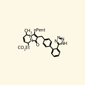 CCCCCc1c(Cc2ccc(-c3ccccc3-c3nnn[nH]3)cc2)c(=O)n2n1C(C)C=CC2C(=O)OCC